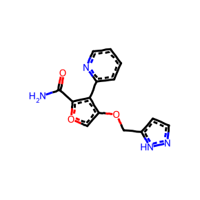 NC(=O)c1occ(OCc2ccn[nH]2)c1-c1ccccn1